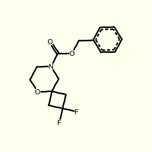 O=C(OCc1ccccc1)N1CCOC2(C1)CC(F)(F)C2